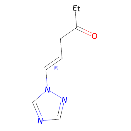 CCC(=O)C/C=C/n1cncn1